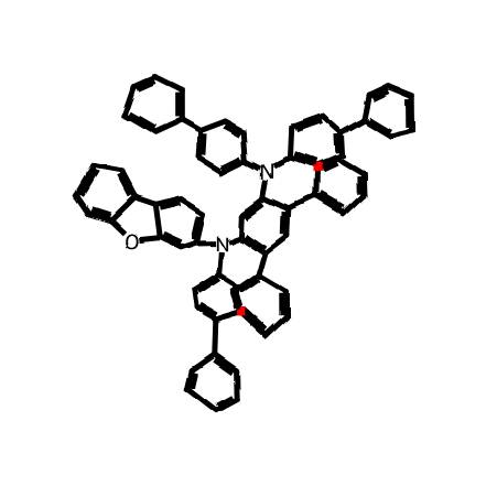 c1ccc(-c2ccc(N(c3ccc(-c4ccccc4)cc3)c3cc(N(c4ccc(-c5ccccc5)cc4)c4ccc5c(c4)oc4ccccc45)c(-c4ccccc4)cc3-c3ccccc3)cc2)cc1